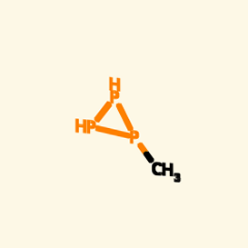 Cp1[pH][pH]1